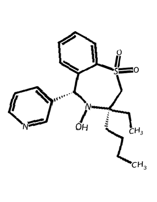 CCCC[C@@]1(CC)CS(=O)(=O)c2ccccc2[C@@H](c2cccnc2)N1O